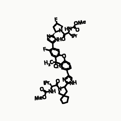 COC(=O)N[C@H](C(=O)N1CC2(CCCC2)CC1c1nc(-c2ccc3c(c2)C(C)(C)c2cc(F)c(-c4cnc([C@@H]5CC(F)CN5C(=O)[C@@H](NC(=O)OC)C(C)C)[nH]4)cc2O3)c[nH]1)C(C)C